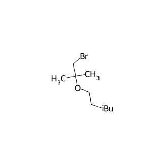 CCC(C)CCOC(C)(C)CBr